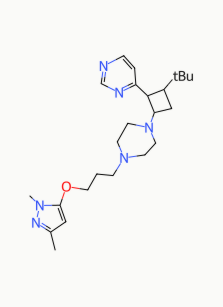 Cc1cc(OCCCN2CCN(C3CC(C(C)(C)C)C3c3ccncn3)CC2)n(C)n1